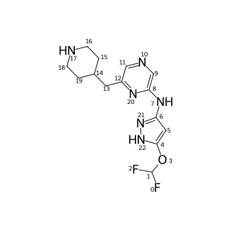 FC(F)Oc1cc(Nc2cncc(CC3CCNCC3)n2)n[nH]1